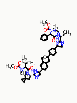 CC[C@@H](c1ncc(-c2ccc(-c3ccc4cc(-c5cnc([C@@H]6CC7(CC7)CN6C(=O)[C@H](C(C)C)N(C)C(=O)OC)[nH]5)ccc4c3)cc2)[nH]1)N(CC)C(=O)[C@H](NC(=O)OC)c1ccccc1